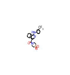 O=C(c1cnc(Nc2cccc(C(F)(F)F)c2)c2c1C1CCC2C1)N1CCS(=O)(=O)CC1